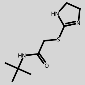 CC(C)(C)NC(=O)CSC1=NCCN1